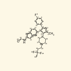 Cn1nc(-c2ccc(F)cc2)c(-c2ccc3nc(NC=O)cn3n2)c1C1CCN(CCC(F)(F)F)CC1